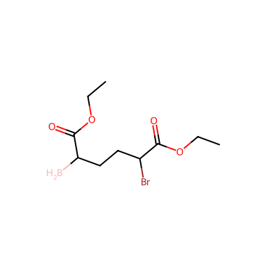 BC(CCC(Br)C(=O)OCC)C(=O)OCC